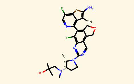 C[C@H]1[C@@H](N(C)CC(C)(C)O)CCN1c1ncc2c3c(c(-c4ncc(F)c5sc(N)c(C#N)c45)c(F)c2n1)COC3